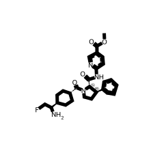 COC(=O)c1ccc(NC(=O)[C@@H]2[C@@H](c3ccccc3)CCN2C(=O)[C@H]2CC[C@H](C(N)CF)CC2)nc1